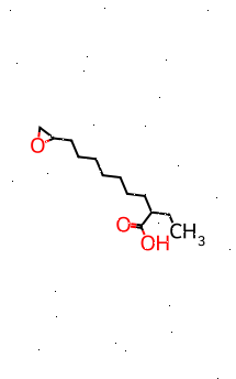 CCC(CCCCCCCC1CO1)C(=O)O